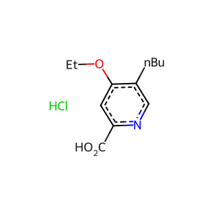 CCCCc1cnc(C(=O)O)cc1OCC.Cl